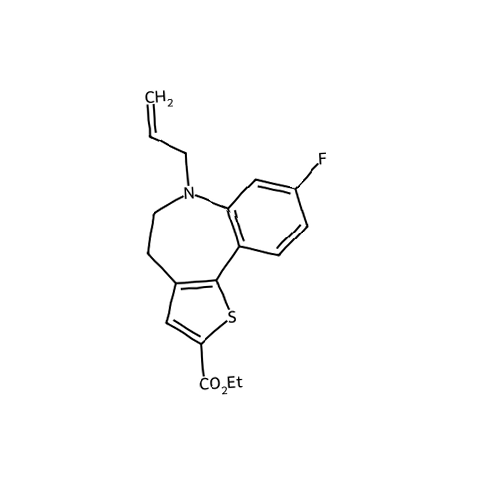 C=CCN1CCc2cc(C(=O)OCC)sc2-c2ccc(F)cc21